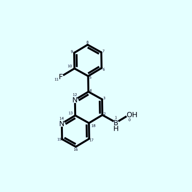 OBc1cc(-c2ccccc2F)nc2ncccc12